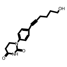 O=C1CCN(c2ccc(C#CCCCCO)cc2)C(=O)N1